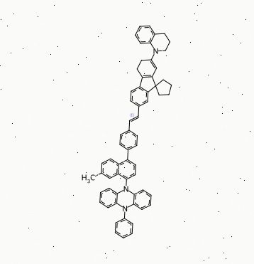 Cc1ccc2c(-c3ccc(/C=C/c4ccc5c(c4)C4(CCCC4)C4=C5CCC(N5CCCc6ccccc65)=C4)cc3)ccc(N3c4ccccc4N(c4ccccc4)c4ccccc43)c2c1